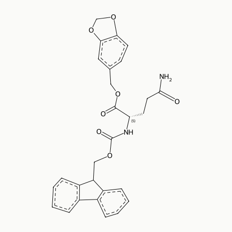 NC(=O)CC[C@H](NC(=O)OCC1c2ccccc2-c2ccccc21)C(=O)OCc1ccc2c(c1)OCO2